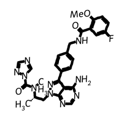 COc1ccc(F)cc1C(=O)NCc1ccc(-c2nn(C[C@H](C)N(C)C(=O)n3cncn3)c3ncnc(N)c23)cc1